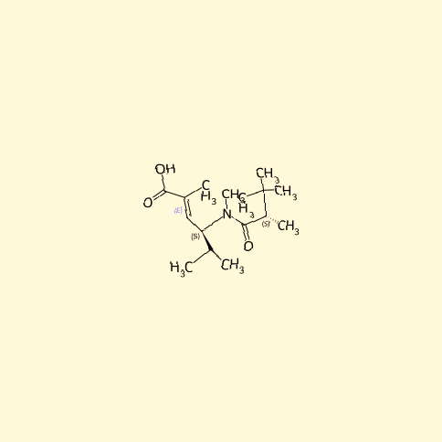 C/C(=C\[C@H](C(C)C)N(C)C(=O)[C@@H](C)C(C)(C)C)C(=O)O